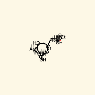 CC[C@H]1C[C@H](C)[C@@]2(NC1=O)O[C@@H](C[C@H](O)[C@@H](C)CC/C=C/C=C(\C)[C@@H]1C/C=C/C=C/[C@H](O)[C@H](C)[C@@H](O)[C@@H](CCC(C)=O)C(=O)N[C@@H](C(C)C)C(=O)N[C@@H](Cc3cccc(O)n3)C(=O)N3CCCC(N3)C(=O)O1)[C@H](C)C(O)=C2C